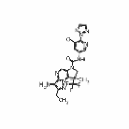 CCc1nn2c3c(cnc2c1N)N(C(=O)Nc1cnc(-n2nccn2)c(Cl)c1)C[C@]3(C)C(F)(F)F